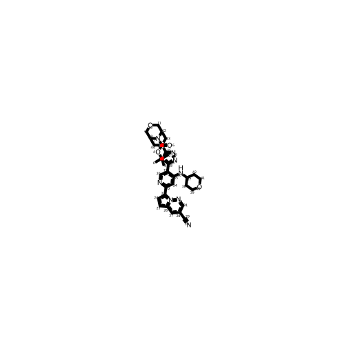 CC(C)(C)OC(=O)N1C2COCC1CN(c1nnc(-c3cnc(-c4ccc5cc(C#N)cnn45)cc3NC3CCOCC3)s1)C2